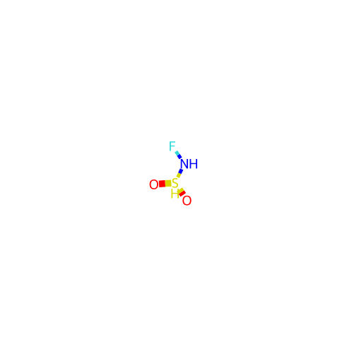 O=[SH](=O)NF